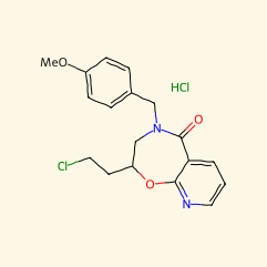 COc1ccc(CN2CC(CCCl)Oc3ncccc3C2=O)cc1.Cl